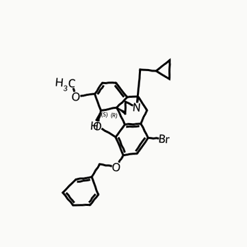 COC1=CC=C2C3Cc4c(Br)cc(OCc5ccccc5)c5c4[C@]2(CCN3CC2CC2)[C@@H]1O5